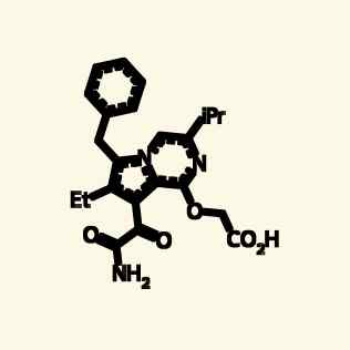 CCc1c(C(=O)C(N)=O)c2c(OCC(=O)O)nc(C(C)C)cn2c1Cc1ccccc1